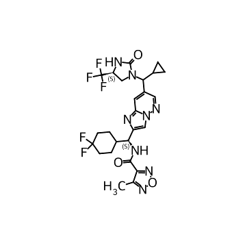 Cc1nonc1C(=O)N[C@H](c1cn2ncc(C(C3CC3)N3C[C@@H](C(F)(F)F)NC3=O)cc2n1)C1CCC(F)(F)CC1